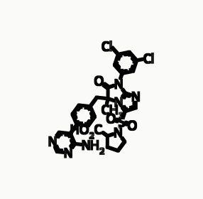 CC1(Cc2ccc(-c3cncnc3N)cc2)C(=O)N(c2cc(Cl)cc(Cl)c2)c2ncc(S(=O)(=O)N3CCCC3C(=O)O)n21